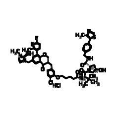 Cc1nc(F)ccc1-c1cc(Cn2ccn(C)c2=N)cc2c1OCC(Cc1ccc(Cl)c(OCCCCC(=O)N[C@H](C(=O)N3C[C@H](O)C[C@H]3C(=O)NCc3ccc(-c4scnc4C)cc3)C(C)(C)C)c1)C2=O.Cl